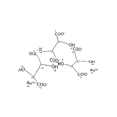 O=C([O-])C(O)C(O)C(=O)[O-].O=C([O-])C(O)C(O)C(=O)[O-].O=C([O-])C(O)C(O)C(=O)[O-].[Au+3].[Au+3]